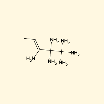 CC=C(N)C(N)(N)C(N)(N)N